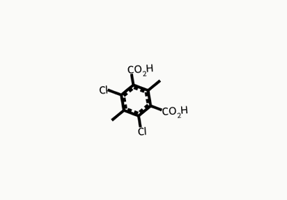 Cc1c(Cl)c(C(=O)O)c(C)c(C(=O)O)c1Cl